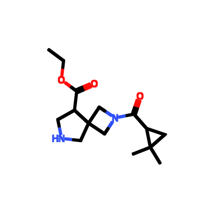 CCOC(=O)C1CNCC12CN(C(=O)C1CC1(C)C)C2